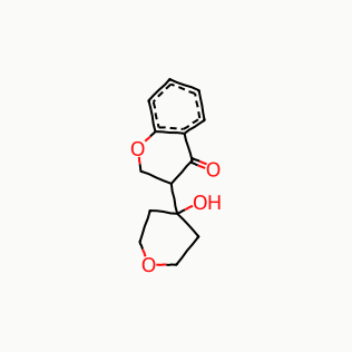 O=C1c2ccccc2OCC1C1(O)CCOCC1